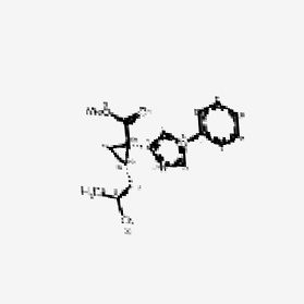 COC(=O)[C@]1(c2cn(-c3ccccc3)cn2)C[C@H]1CC(C)C#N